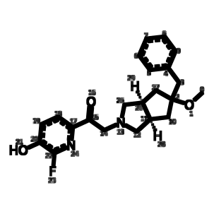 COC1(Cc2ccccc2)C[C@H]2CN(CC(=O)c3ccc(O)c(F)n3)C[C@H]2C1